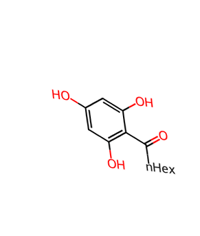 CCCCCCC(=O)c1c(O)cc(O)cc1O